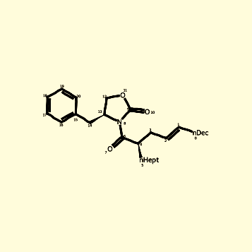 CCCCCCCCCC/C=C/C[C@@H](CCCCCCC)C(=O)N1C(=O)OC[C@@H]1Cc1ccccc1